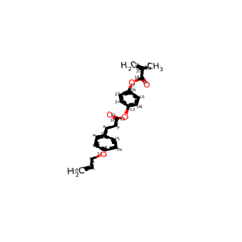 C=CCOc1ccc(CCC(=O)Oc2ccc(OC(=O)C(=C)C)cc2)cc1